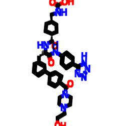 O=C(O)NC[C@H]1CC[C@H](C(=O)N[C@@H](Cc2cccc(-c3ccc(C(=O)N4CCN(CCO)CC4)cc3)c2)C(=O)Nc2ccc(-c3nnn[nH]3)cc2)CC1